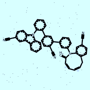 C=C1/C=C\C=C/Cc2ccc(C#N)cc2N1c1cccc(-c2cc(-c3ccccc3-n3c4ccccc4c4cc(C#N)ccc43)ccc2C#N)c1